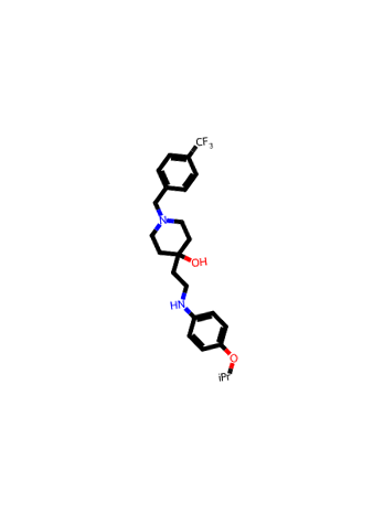 CC(C)Oc1ccc(NCCC2(O)CCN(Cc3ccc(C(F)(F)F)cc3)CC2)cc1